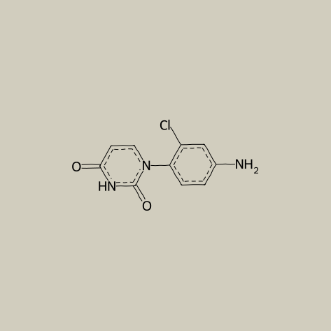 Nc1ccc(-n2ccc(=O)[nH]c2=O)c(Cl)c1